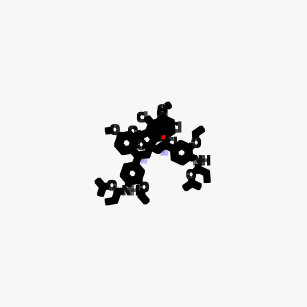 CCOc1cc(/C(=C/C2(/C=C(\c3ccc(OC)cc3)c3ccc(NC(CC)OC(C)C)c(OCC)c3)OC(=O)c3c(Cl)c(Cl)c(Cl)c(Cl)c32)c2ccc(OC)cc2)ccc1NC(CC)OC(C)C